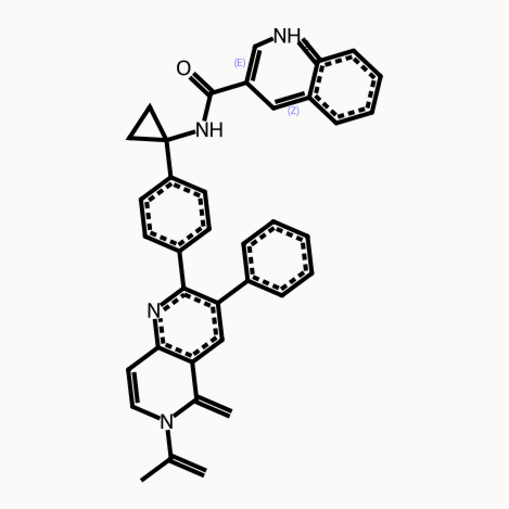 C=C(C)N1C=Cc2nc(-c3ccc(C4(NC(=O)C(/C=c5/ccccc5=C)=C/N)CC4)cc3)c(-c3ccccc3)cc2C1=C